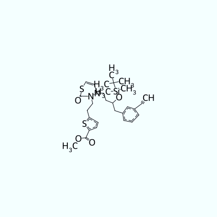 C#Cc1cccc(CC(CCN2C=CSC(=O)N2CCc2ccc(C(=O)OC)s2)O[Si](C)(C)C(C)(C)C)c1